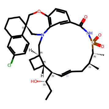 CC[C@H](O)[C@@H]1/C=C/C[C@H](C)[C@@H](C)S(=O)(=O)NC(=O)c2ccc3c(c2)N(C[C@@H]2CC[C@H]21)C[C@@]1(CCCc2cc(Cl)ccc21)CO3